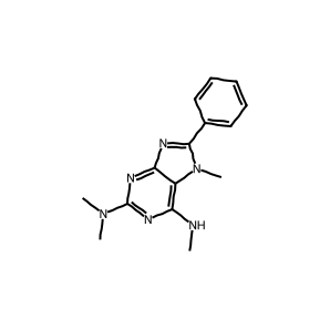 CNc1nc(N(C)C)nc2nc(-c3ccccc3)n(C)c12